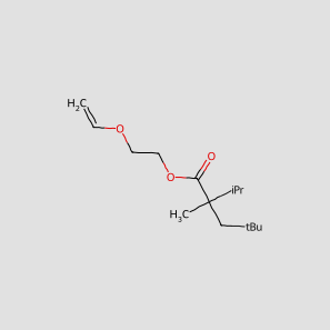 C=COCCOC(=O)C(C)(CC(C)(C)C)C(C)C